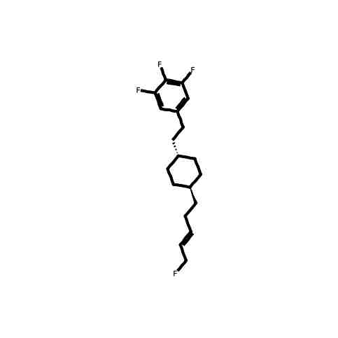 FCC=CCC[C@H]1CC[C@H](CCc2cc(F)c(F)c(F)c2)CC1